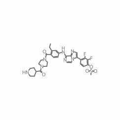 CCc1cc(Nc2nccn3c(-c4ccc(OS(C)(=O)=O)c(F)c4F)cnc23)ccc1C(=O)N1CCN(C(=O)C2CCNCC2)CC1